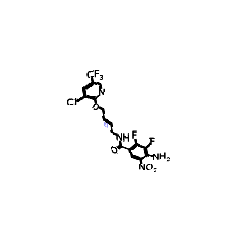 Nc1c([N+](=O)[O-])cc(C(=O)NC/C=C/COc2ncc(C(F)(F)F)cc2Cl)c(F)c1F